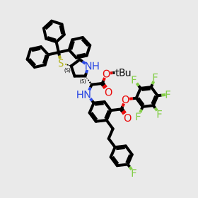 CC(C)(C)OC(=O)C(Nc1ccc(CCc2ccc(F)cc2)c(C(=O)Oc2c(F)c(F)c(F)c(F)c2F)c1)[C@@H]1C[C@H](SC(c2ccccc2)(c2ccccc2)c2ccccc2)CN1